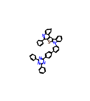 c1ccc(-c2nc(-c3ccccc3)nc(-c3ccc(-c4cccc(-n5c6ccccc6c6c7c(sc65)c(-c5ccccc5)nc5ccccc57)c4)cc3)n2)cc1